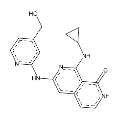 O=c1[nH]ccc2cc(Nc3cc(CO)ccn3)nc(NC3CC3)c12